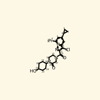 CC(C)c1cc(C2CC2)cc2c(Cl)c(C(=O)N3CCN(C4CCC(O)CC4)C(=O)C3)nn12